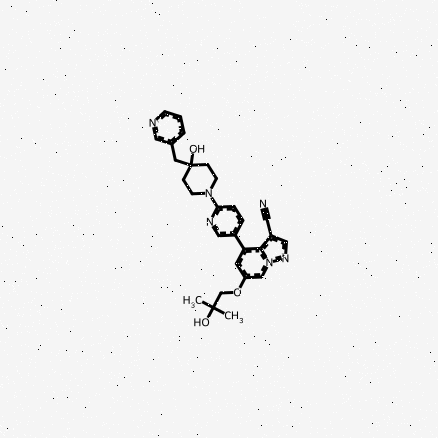 CC(C)(O)COc1cc(-c2ccc(N3CCC(O)(Cc4cccnc4)CC3)nc2)c2c(C#N)cnn2c1